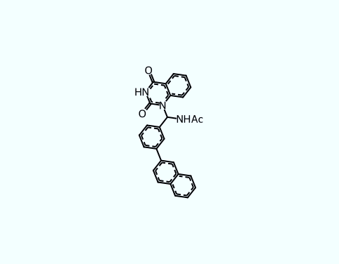 CC(=O)NC(c1cccc(-c2ccc3ccccc3c2)c1)n1c(=O)[nH]c(=O)c2ccccc21